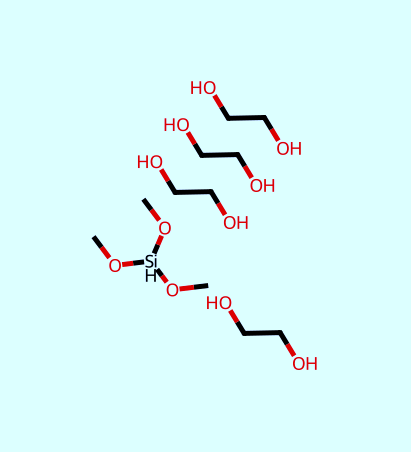 CO[SiH](OC)OC.OCCO.OCCO.OCCO.OCCO